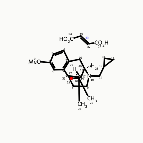 COc1ccc2c(c1)[C@]13CCN(CC4CC4)[C@H](C2)[C@@H]1OC(C)(C)OC3.O=C(O)/C=C/C(=O)O